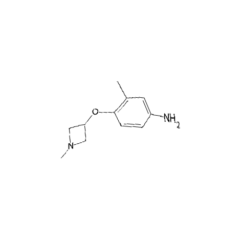 Cc1cc(N)ccc1OC1CN(C)C1